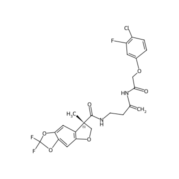 C=C(CCNC(=O)[C@]1(C)COc2cc3c(cc21)OC(F)(F)O3)NC(=O)COc1ccc(Cl)c(F)c1